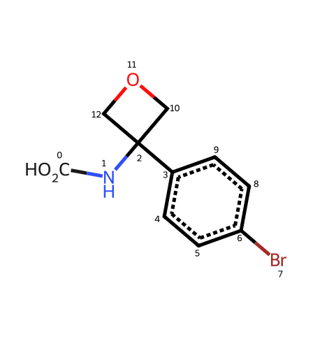 O=C(O)NC1(c2ccc(Br)cc2)COC1